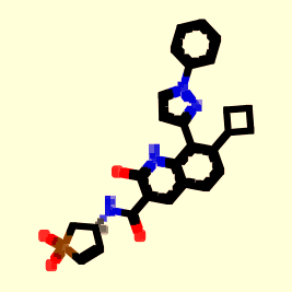 O=C(N[C@@H]1C=CS(=O)(=O)C1)c1cc2ccc(C3CCC3)c(-c3ccn(-c4ccccc4)n3)c2[nH]c1=O